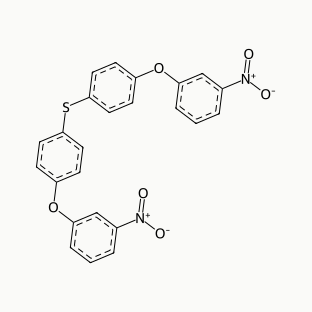 O=[N+]([O-])c1cccc(Oc2ccc(Sc3ccc(Oc4cccc([N+](=O)[O-])c4)cc3)cc2)c1